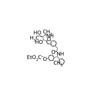 CCOC(=O)COc1ccc(C(NC(=O)Cc2ccc3oc(C(O)/C(C(C)=N)=C(\C)O)cc3c2)c2ccccc2)c(C)c1